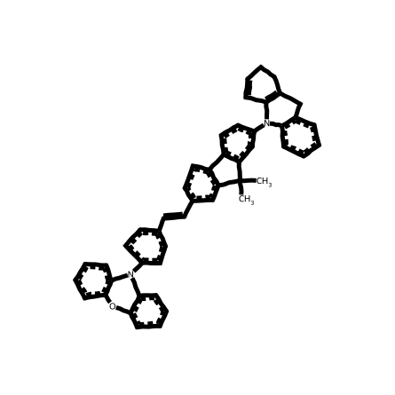 CC1(C)c2cc(/C=C/c3ccc(N4c5ccccc5Oc5ccccc54)cc3)ccc2-c2ccc(N3C4=C(CCC=C4)Cc4ccccc43)cc21